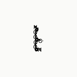 CN(C)c1cccc(OCCCOc2cc(C[O])cc(OCCCOc3cccc(N(C)C)c3)c2)c1